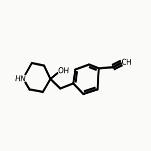 C#Cc1ccc(CC2(O)CCNCC2)cc1